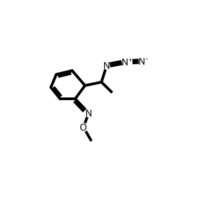 CON=C1C=CC=CC1C(C)N=[N+]=[N-]